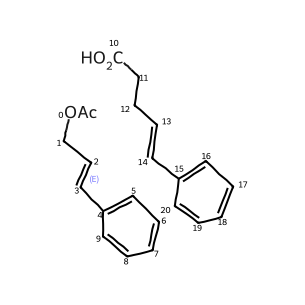 CC(=O)OC/C=C/c1ccccc1.O=C(O)CCC=Cc1ccccc1